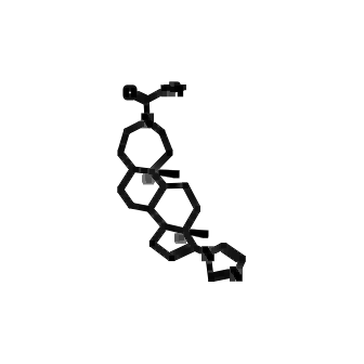 CCCC(=O)N1CCC2CCC3C(CC[C@]4(C)C(n5ccnc5)=CCC34)[C@@]2(C)CC1